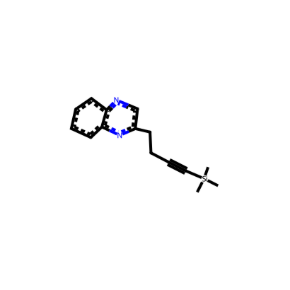 C[Si](C)(C)C#CCCc1cnc2ccccc2n1